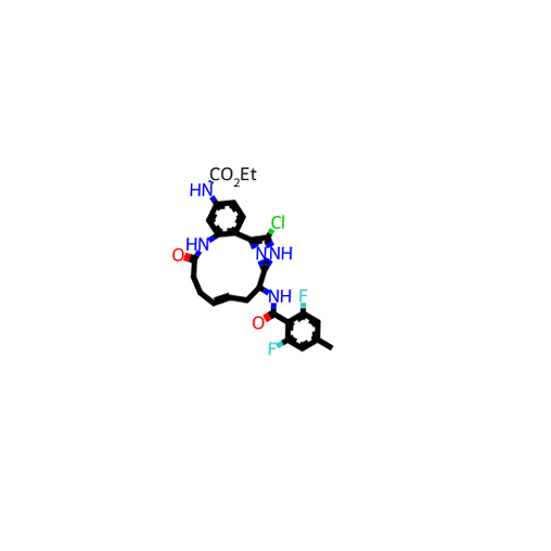 CCOC(=O)Nc1ccc2c(c1)NC(=O)CC/C=C/CC(NC(=O)c1c(F)cc(C)cc1F)c1nc-2c(Cl)[nH]1